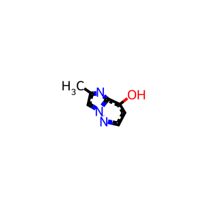 Cc1cn2nccc(O)c2n1